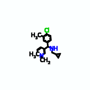 C=N/C=C(\C=C/C)C(NCC1CC1)c1ccc(Cl)c(C)c1